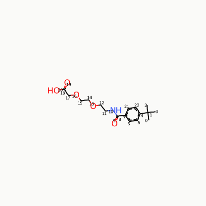 CC(C)(C)c1ccc(C(=O)NCCOCCOCC(=O)O)cc1